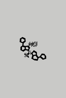 C[Si](C)=[Ti]([CH]1C=Cc2c(-c3ccccc3)cccc21)[CH]1C=Cc2c(-c3ccccc3)cccc21.Cl.Cl